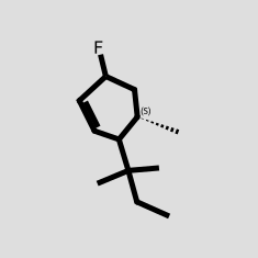 CCC(C)(C)C1C=CC(F)C[C@@H]1C